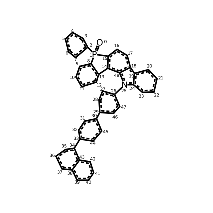 O=P1(c2ccccc2)c2ccccc2-c2c1ccc1c3ccccc3n(-c3ccc(-c4ccc(-c5cccc6ccccc56)cc4)cc3)c21